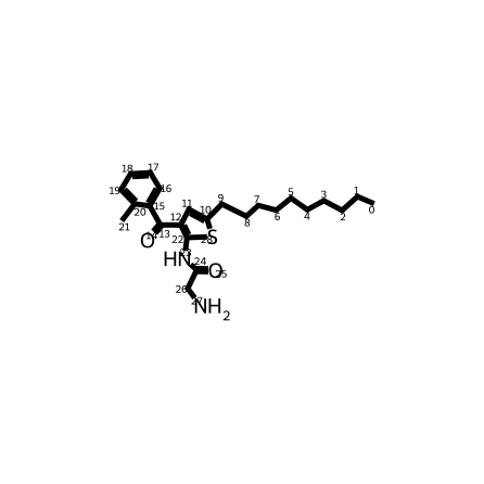 CCCCCCCCCCc1cc(C(=O)c2ccccc2C)c(NC(=O)CN)s1